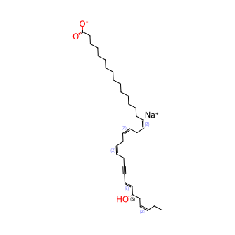 CC/C=C\C[C@H](O)/C=C/C#CC/C=C\C/C=C\C/C=C\CCCCCCCCCCCCCCC(=O)[O-].[Na+]